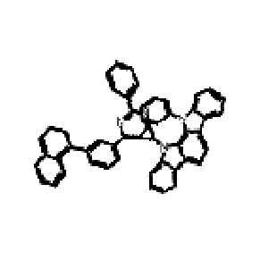 C1=c2ccccc2=C(c2cccc(-c3nc(-c4ccccc4)nc4c3C4n3c4ccccc4c4ccc5c6ccccc6n(-c6ccccc6)c5c43)c2)CC1